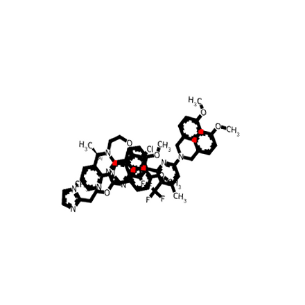 COc1ccc(CN(Cc2ccc(OC)cc2)c2cc(C)c(C(F)(F)F)c(-c3c(Cl)c4c5c(nc(OCCc6nccn6C)nc5c3F)N([C@H](C)c3cccnc3N(Cc3ccc(OC)cc3)Cc3ccc(OC)cc3)CCO4)n2)cc1